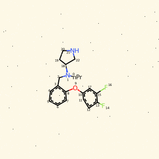 CCCN(Cc1ccccc1Oc1ccc(F)c(F)c1)[C@H]1CCNC1